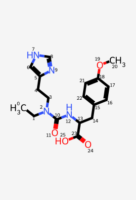 CCN(CCc1c[nH]cn1)C(=O)NC(Cc1ccc(OC)cc1)C(=O)O